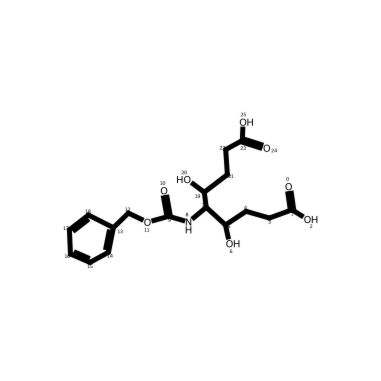 O=C(O)CCC(O)C(NC(=O)OCc1ccccc1)C(O)CCC(=O)O